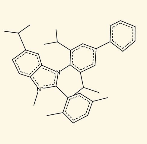 Cc1ccc(C)c(-c2n(-c3c(C(C)C)cc(-c4ccccc4)cc3C(C)C)c3cc(C(C)C)ccc3[n+]2C)c1